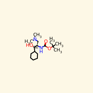 CN(C)C[C@@H](NC(=O)OC(C)(C)C)[C@@H](O)C1CCCCC1